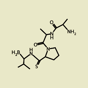 BC(NC(=S)C1CCCN1C(=O)C(C)NC(=O)C(C)N)C(C)C